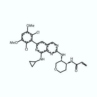 C=CC(=O)N[C@H]1CCOC[C@H]1Nc1ncc2cc(-c3c(Cl)c(OC)cc(OC)c3Cl)nc(NC3CC3)c2n1